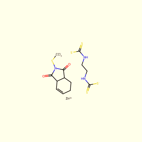 O=C1C2C=CCCC2C(=O)N1SC(Cl)(Cl)Cl.S=C([S-])NCCNC(=S)[S-].[Zn+2]